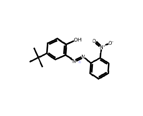 CC(C)(C)c1ccc(O)c(/N=N/c2ccccc2[N+](=O)[O-])c1